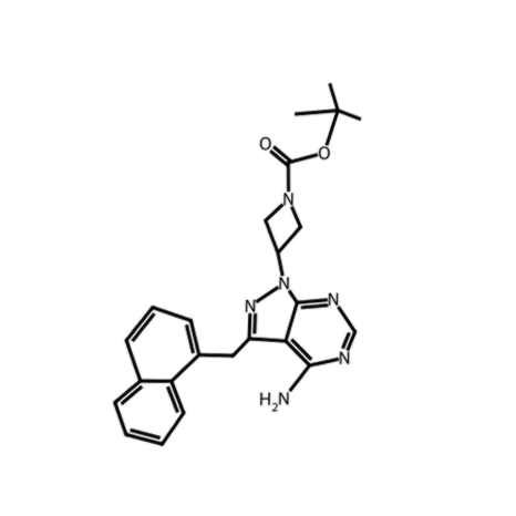 CC(C)(C)OC(=O)N1CC(n2nc(Cc3cccc4ccccc34)c3c(N)ncnc32)C1